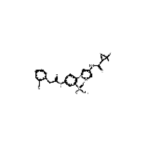 NS(=O)(=O)c1cc(NC(=O)Cc2ccccc2Cl)ccc1-n1cc(NC(=O)C2CC2(F)F)cn1